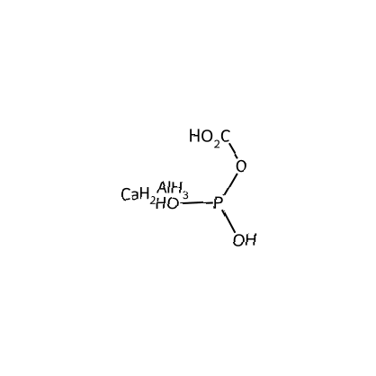 O=C(O)OP(O)O.[AlH3].[CaH2]